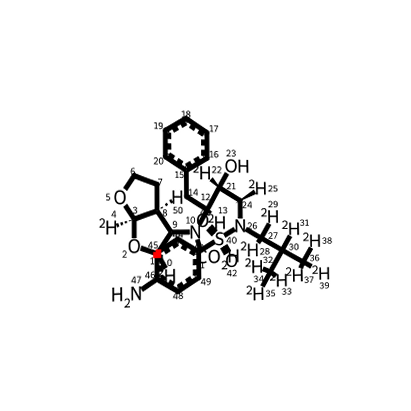 [2H]C1O[C@@]2([2H])OCC[C@H]2C1N(C(=O)O)[C@@]([2H])(Cc1ccccc1)[C@]([2H])(O)[C@@H]([2H])N(C([2H])([2H])C([2H])(C([2H])([2H])[2H])C([2H])([2H])[2H])S(=O)(=O)c1ccc(N)cc1